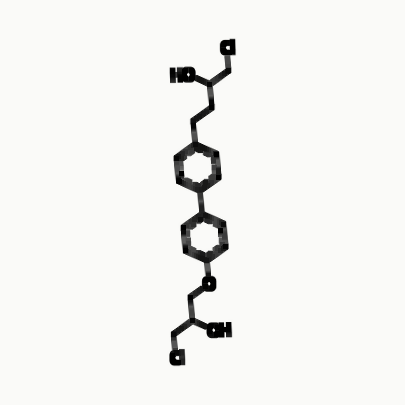 OC(CCl)CCc1ccc(-c2ccc(OCC(O)CCl)cc2)cc1